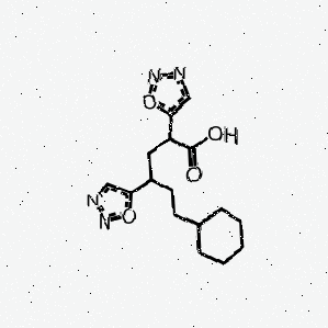 O=C(O)C(CC(CCC1CCCCC1)c1cnno1)c1cnno1